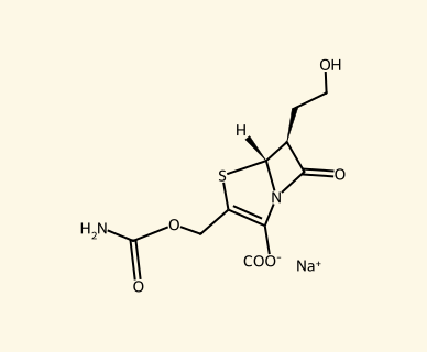 NC(=O)OCC1=C(C(=O)[O-])N2C(=O)[C@H](CCO)[C@H]2S1.[Na+]